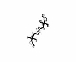 COC(C)(C)CSSCC(C)(C)OC